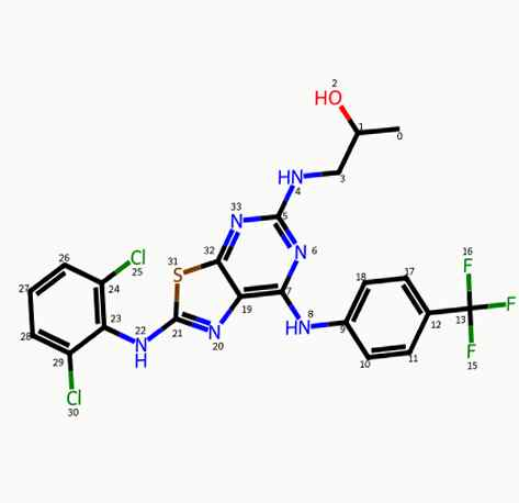 CC(O)CNc1nc(Nc2ccc(C(F)(F)F)cc2)c2nc(Nc3c(Cl)cccc3Cl)sc2n1